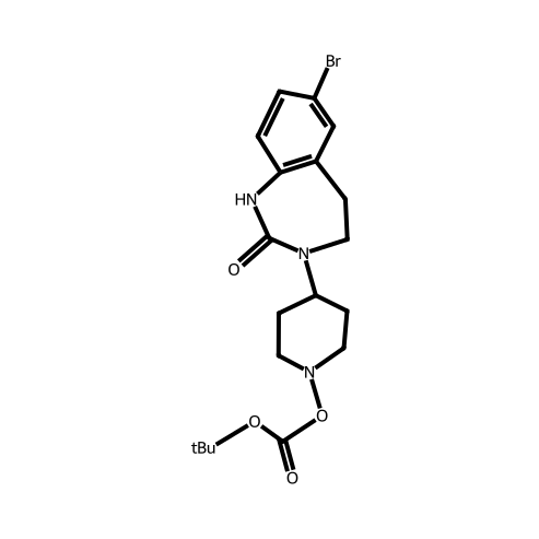 CC(C)(C)OC(=O)ON1CCC(N2CCc3cc(Br)ccc3NC2=O)CC1